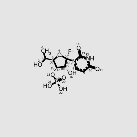 CC(O)[C@H]1O[C@@](F)(n2ccc(=O)[nH]c2=O)[C@H](O)[C@@H]1OP(=O)(O)O